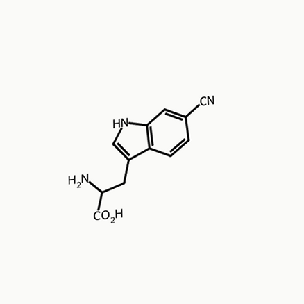 N#Cc1ccc2c(CC(N)C(=O)O)c[nH]c2c1